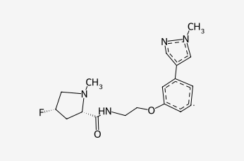 CN1C[C@@H](F)C[C@H]1C(=O)NCCOc1c[c]cc(-c2cnn(C)c2)c1